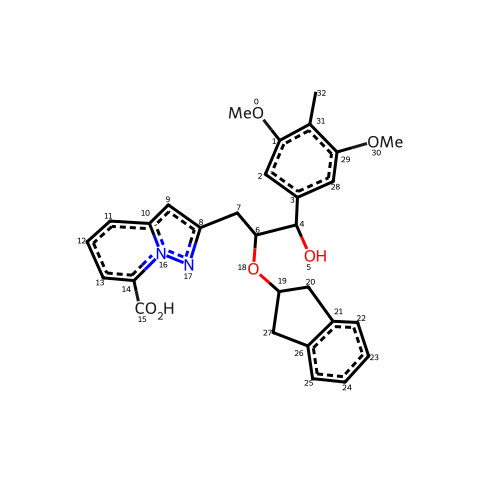 COc1cc(C(O)C(Cc2cc3cccc(C(=O)O)n3n2)OC2Cc3ccccc3C2)cc(OC)c1C